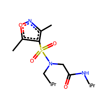 Cc1noc(C)c1S(=O)(=O)N(CC(=O)NC(C)C)CC(C)C